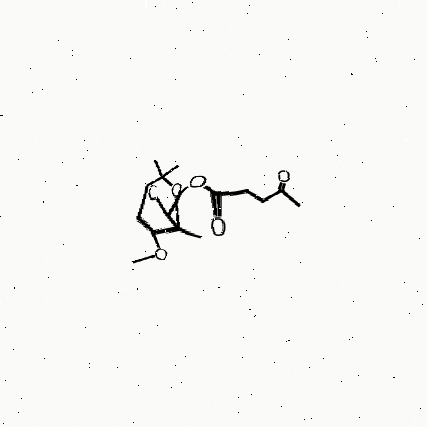 COC1CC2CC(OC(=O)CCC(C)=O)C1(C)OC2(C)C